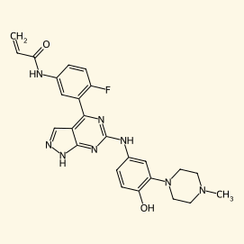 C=CC(=O)Nc1ccc(F)c(-c2nc(Nc3ccc(O)c(N4CCN(C)CC4)c3)nc3[nH]ncc23)c1